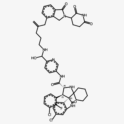 C=C(CCCNC(O)c1ccc(NC(=O)[C@@H]2NC3(CCCCC3)[C@@]3(C(=O)Nc4cc(Cl)ccc43)[C@H]2c2cccc(Cl)c2F)cn1)Cc1cccc2c1CN(C1CCC(=O)NC1=O)C2=O